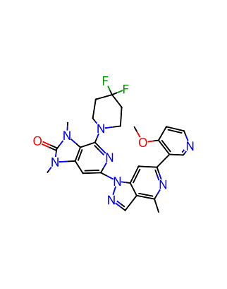 COc1ccncc1-c1cc2c(cnn2-c2cc3c(c(N4CCC(F)(F)CC4)n2)n(C)c(=O)n3C)c(C)n1